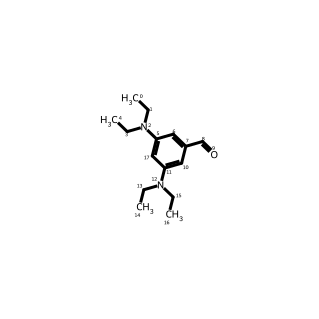 CCN(CC)c1cc(C=O)cc(N(CC)CC)c1